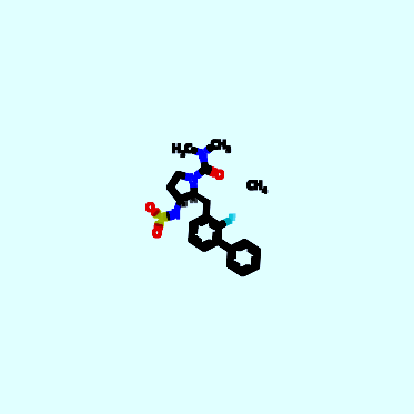 C.CN(C)C(=O)N1CC[C@H](N=S(=O)=O)[C@@H]1Cc1cccc(-c2ccccc2)c1F